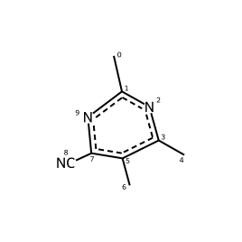 Cc1nc(C)c(C)c(C#N)n1